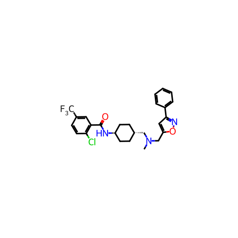 CN(Cc1cc(-c2ccccc2)no1)C[C@H]1CC[C@H](NC(=O)c2cc(C(F)(F)F)ccc2Cl)CC1